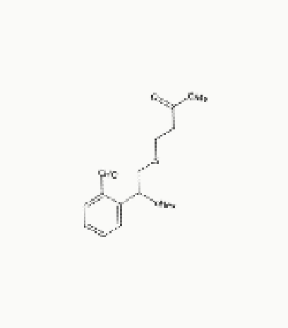 CCCCCCC(CSCCC(=O)OC)c1ccccc1C=O